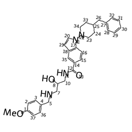 COc1ccc(CNCC(O)CNC(=O)c2ccc3c(ccn3N3CCC(Cc4ccccc4)CC3)c2)cc1